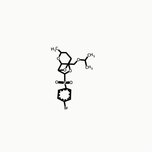 CC(C)OCC12OC(S(=O)(=O)c3ccc(Br)cc3)C3OC1CC(C)OC32